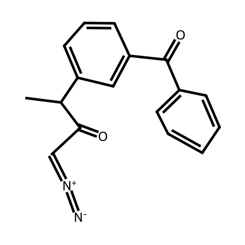 CC(C(=O)C=[N+]=[N-])c1cccc(C(=O)c2ccccc2)c1